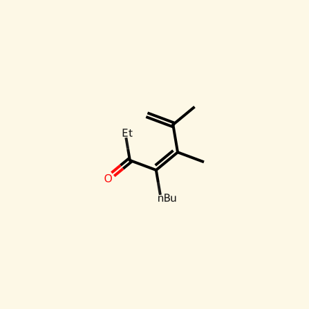 C=C(C)/C(C)=C(/CCCC)C(=O)CC